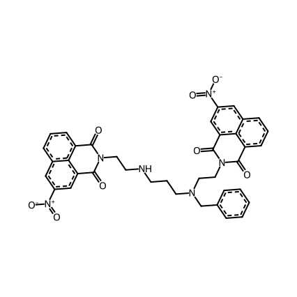 O=C1c2cccc3cc([N+](=O)[O-])cc(c23)C(=O)N1CCNCCCN(CCN1C(=O)c2cccc3cc([N+](=O)[O-])cc(c23)C1=O)Cc1ccccc1